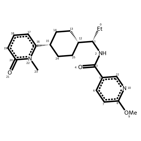 CC[C@H](NC(=O)c1ccc(OC)nc1)[C@H]1CC[C@@H](c2cccc(=O)n2C)CC1